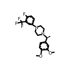 COc1ccc([C@H](C)N2CCN(c3ccc(F)c(C(F)(F)F)c3)CC2)cc1OC